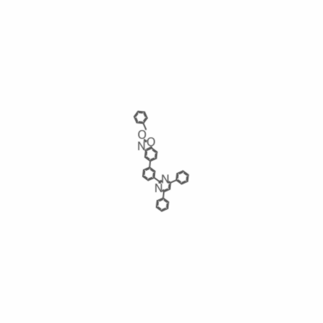 c1ccc(COc2nc3cc(-c4cccc(-c5nc(-c6ccccc6)cc(-c6ccccc6)n5)c4)ccc3o2)cc1